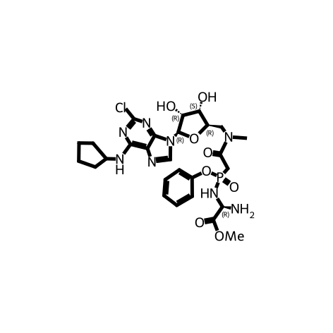 COC(=O)[C@H](N)NP(=O)(CC(=O)N(C)C[C@H]1O[C@@H](n2cnc3c(NC4CCCC4)nc(Cl)nc32)[C@H](O)[C@@H]1O)Oc1ccccc1